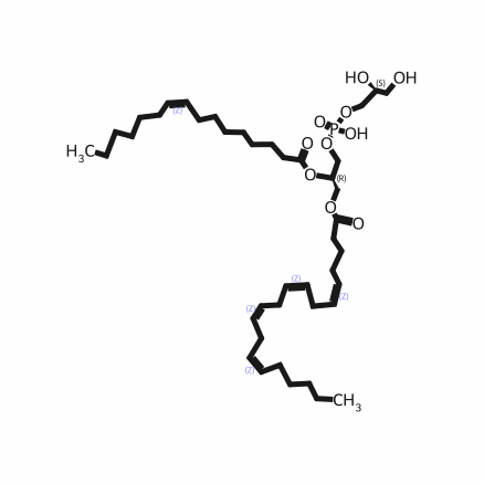 CCCCC/C=C\C/C=C\C/C=C\C/C=C\CCCC(=O)OC[C@H](COP(=O)(O)OC[C@@H](O)CO)OC(=O)CCCCCCC/C=C\CCCCCC